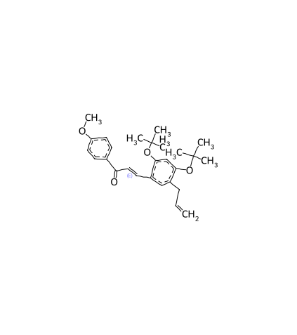 C=CCc1cc(/C=C/C(=O)c2ccc(OC)cc2)c(OC(C)(C)C)cc1OC(C)(C)C